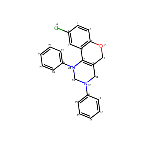 Clc1ccc2c(c1)C1=C(CO2)CN(c2ccccc2)CN1c1ccccc1